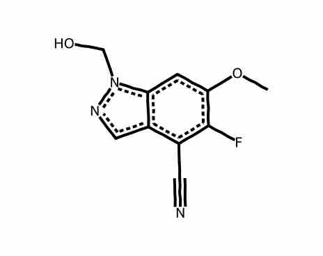 COc1cc2c(cnn2CO)c(C#N)c1F